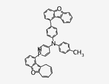 Cc1ccc(N(C2=CC=[PH](c3cccc4oc5c(c34)CC=CC=C5)C=C2)c2ccc(-c3cccc4oc5ccccc5c34)cc2)cc1